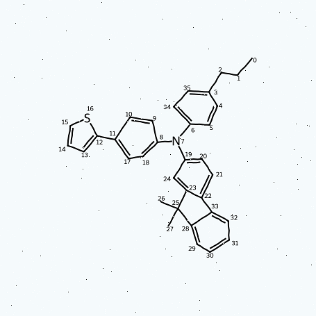 CCCc1ccc(N(c2ccc(-c3cccs3)cc2)c2ccc3c(c2)C(C)(C)c2ccccc2-3)cc1